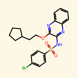 O=S(=O)(Nc1nc2ccccc2nc1OCCC1CCCC1)c1ccc(Br)cc1